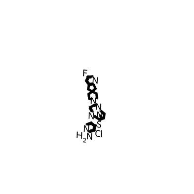 CN1C2=CC=C(Sc3ccnc(N)c3Cl)/C1=N/C=C/C(N1CCC3(CC1)Cc1cc(F)cnc1C3)=N\2